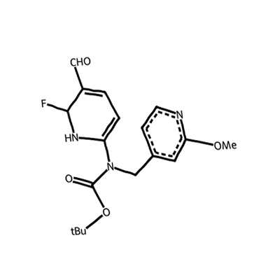 COc1cc(CN(C(=O)OC(C)(C)C)C2=CC=C(C=O)C(F)N2)ccn1